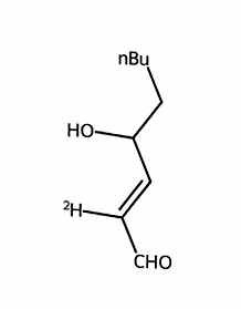 [2H]C(C=O)=CC(O)CCCCC